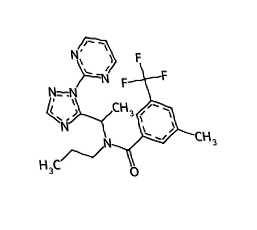 CCCN(C(=O)c1cc(C)cc(C(F)(F)F)c1)C(C)c1ncnn1-c1ncccn1